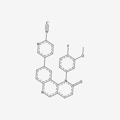 [C-]#[N+]c1ccc(-c2ccc3ncc4ccc(=O)n(-c5ccc(F)c(OC)c5)c4c3c2)cn1